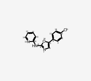 Clc1ccc(-c2cnc(Nc3ccccn3)o2)cc1